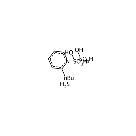 CCCCc1ccccn1.O=S(=O)(O)O.O=S(=O)(O)O.S